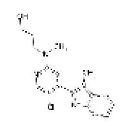 CN(CCCO)c1cc(-c2nc3ccccc3n2C)c(Cl)cn1